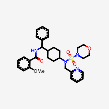 COc1ccccc1C(=O)NC(c1ccccc1)C1CCC(N(Cc2ccccn2)S(=O)(=O)N2CCOCC2)CC1